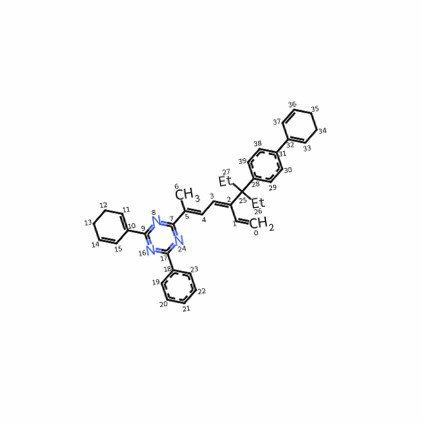 C=C/C(=C\C=C(/C)c1nc(C2=CCCC=C2)nc(-c2ccccc2)n1)C(CC)(CC)c1ccc(C2=CCCC=C2)cc1